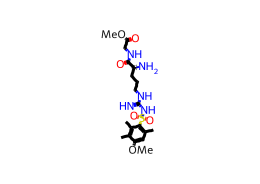 COC(=O)CNC(=O)[C@@H](N)CCCNC(=N)NS(=O)(=O)c1c(C)cc(OC)c(C)c1C